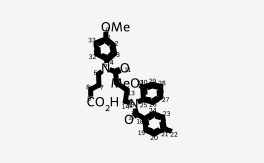 COc1ccc(N(CCCC(=O)O)C(=O)CCCN(C(=O)c2ccc(C)cc2)c2ccccc2OC)cc1